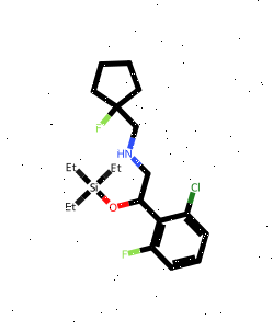 CC[Si](CC)(CC)OC(CNCC1(F)CCCC1)c1c(F)cccc1Cl